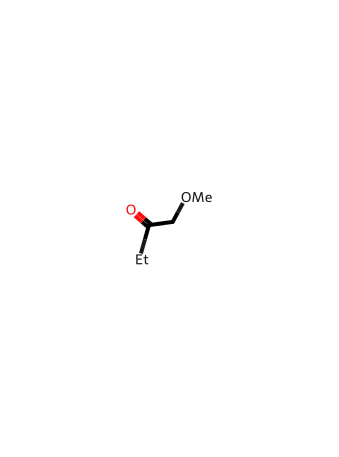 CCC(=O)COC